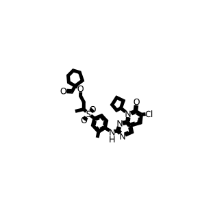 Cc1cc(S(=O)(=O)C(C)CCOC2(C=O)CCCCC2)ccc1Nc1ncc2cc(Cl)c(=O)n(C3CCCC3)c2n1